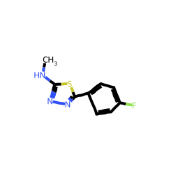 CNc1nnc(-c2ccc(F)cc2)s1